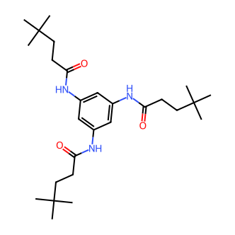 CC(C)(C)CCC(=O)Nc1cc(NC(=O)CCC(C)(C)C)cc(NC(=O)CCC(C)(C)C)c1